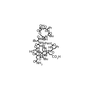 CCCCCC(=O)NC(CC(C)C)C(=O)NC(CCC(=O)O)C(=O)NC(CC(C)C)C(=O)NC(C(=O)NC(CCC(N)=O)C(=O)NC(CO)C(=O)NC(C(=O)NC(C(=O)NC1COC(=O)C(CO)NC(=O)C(C(C)C)NC(=O)C(C(C)CC)NC1=O)C(C)CC)C(C)C)C(C)CC